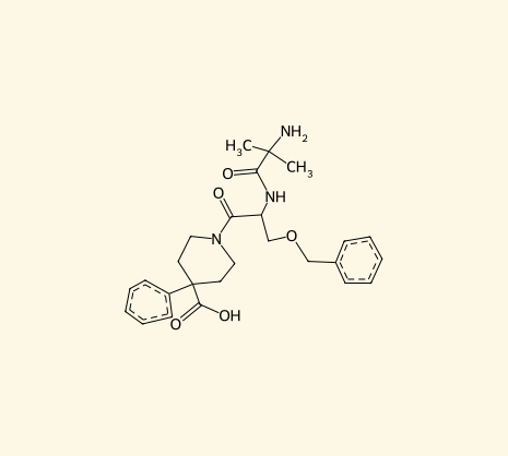 CC(C)(N)C(=O)NC(COCc1ccccc1)C(=O)N1CCC(C(=O)O)(c2ccccc2)CC1